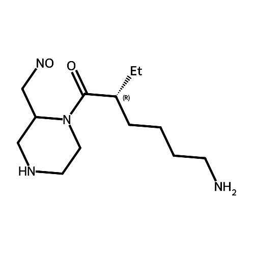 CC[C@H](CCCCN)C(=O)N1CCNCC1CN=O